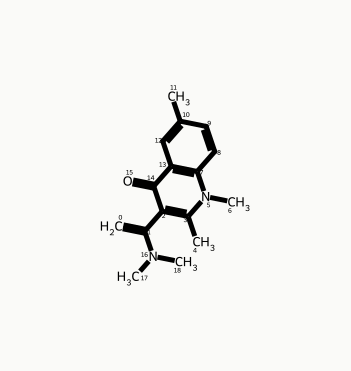 C=C(c1c(C)n(C)c2ccc(C)cc2c1=O)N(C)C